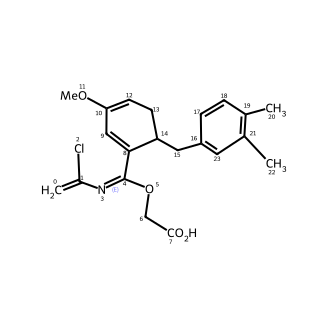 C=C(Cl)/N=C(/OCC(=O)O)C1=CC(OC)=CCC1Cc1ccc(C)c(C)c1